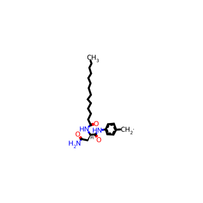 [CH2]c1ccc(NC(=O)[C@@H](CC(N)=O)NC(=O)CCCCCCCCCCCCC)cc1